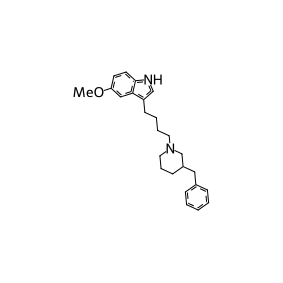 COc1ccc2[nH]cc(CCCCN3CCCC(Cc4ccccc4)C3)c2c1